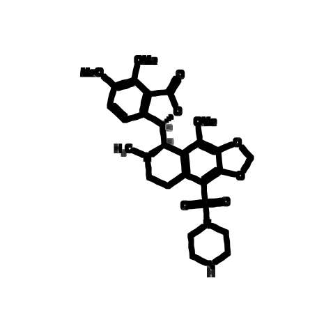 COc1ccc2c(c1OC)C(=O)O[C@@H]2[C@H]1c2c(c(S(=O)(=O)N3CCNCC3)c3c(c2OC)OCO3)CCN1C